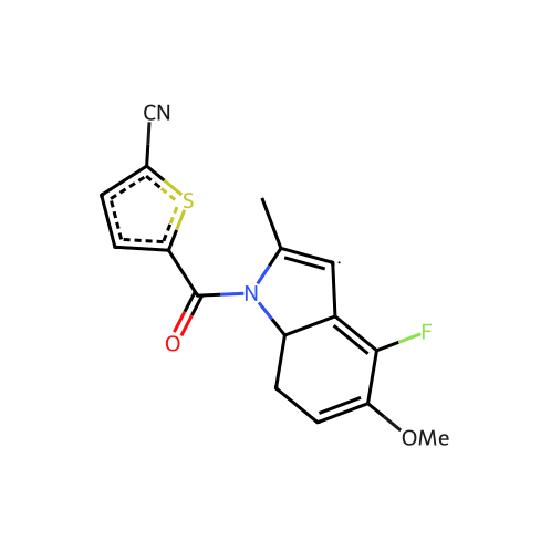 COC1=CCC2C(=C1F)[C]=C(C)N2C(=O)c1ccc(C#N)s1